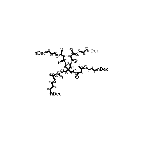 CCCCCCCCCCCCCSC(C)CC(=O)OCC(COC(=O)CC(C)SCCCCCCCCCCCCC)(COC(=O)CC(C)SCCCCCCCCCCCCC)COC(=O)CC(C)SCCCCCCCCCCCCC